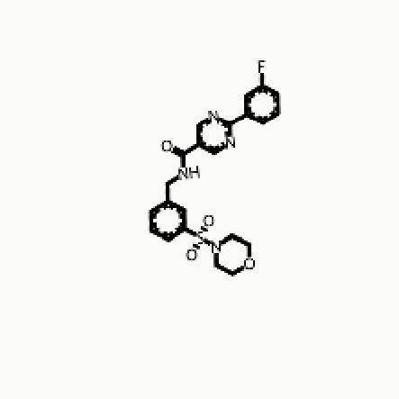 O=C(NCc1cccc(S(=O)(=O)N2CCOCC2)c1)c1cnc(-c2cccc(F)c2)nc1